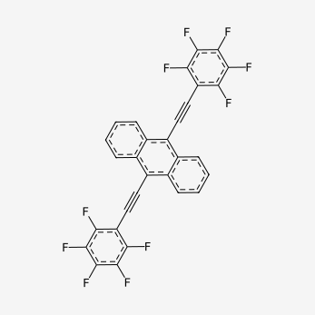 Fc1c(F)c(F)c(C#Cc2c3ccccc3c(C#Cc3c(F)c(F)c(F)c(F)c3F)c3ccccc23)c(F)c1F